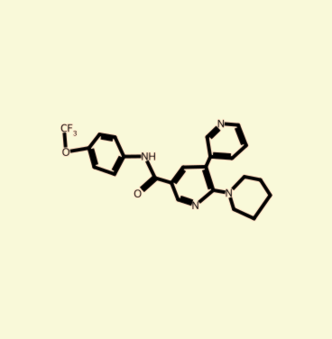 O=C(Nc1ccc(OC(F)(F)F)cc1)c1cnc(N2CCCCC2)c(-c2cccnc2)c1